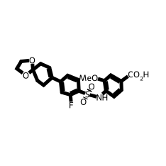 COc1cc(C(=O)O)ccc1NS(=O)(=O)c1ccc(C2=CCC3(CC2)OCCO3)cc1F